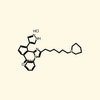 Cl.NC(=O)c1cccc(-c2cn[nH]c2)c1-c1nc(CCCCCCN2CCCCC2)cn1-c1ccccc1